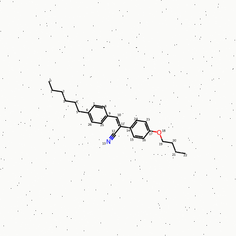 CCCCCCc1ccc(C=C(C#N)c2ccc(OCCCC)cc2)cc1